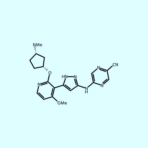 CN[C@H]1CC[C@@H](Oc2nccc(OC)c2-c2cc(Nc3cnc(C#N)cn3)n[nH]2)C1